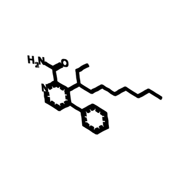 CCCCCCCC(CC)c1c(-c2ccccc2)ccnc1C(N)=O